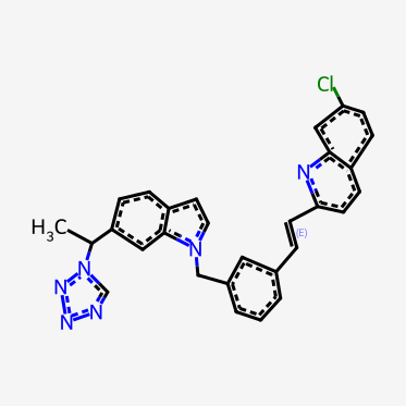 CC(c1ccc2ccn(Cc3cccc(/C=C/c4ccc5ccc(Cl)cc5n4)c3)c2c1)n1cnnn1